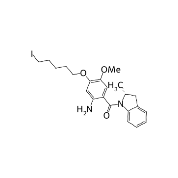 COc1cc(C(=O)N2c3ccccc3C[C@H]2C)c(N)cc1OCCCCCI